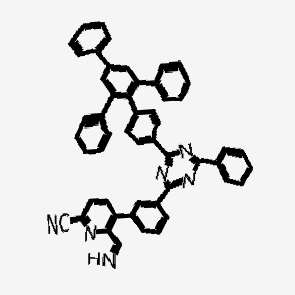 N#Cc1ccc(-c2cccc(-c3nc(-c4ccccc4)nc(-c4ccc(-c5c(-c6ccccc6)cc(-c6ccccc6)cc5-c5ccccc5)cc4)n3)c2)c(C=N)n1